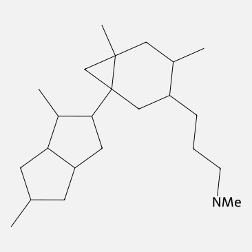 CNCCCC1CC2(C3CC4CC(C)CC4C3C)CC2(C)CC1C